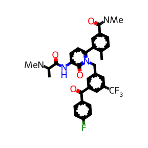 CNC(=O)c1ccc(C)c(-c2ccc(NC(=O)C(C)NC)c(=O)n2Cc2cc(C(=O)c3ccc(F)cc3)cc(C(F)(F)F)c2)c1